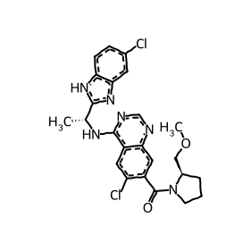 COC[C@H]1CCCN1C(=O)c1cc2ncnc(N[C@H](C)c3nc4cc(Cl)ccc4[nH]3)c2cc1Cl